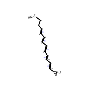 CCCCCCCCCCC/C=C/C=C/C=C/C=C/C=C/[C]=O